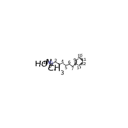 C/C(CCCCCCc1ccccc1)=N\O